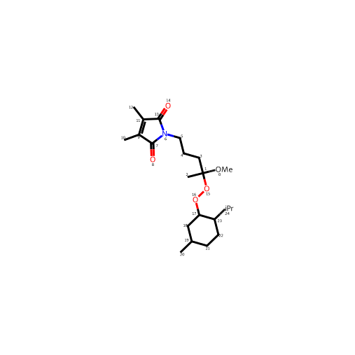 COC(C)(CCCN1C(=O)C(C)=C(C)C1=O)OOC1CC(C)CCC1C(C)C